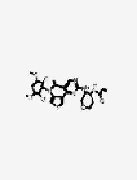 C=CC(=O)NC1CCOCC1Nc1ncc2c(n1)-c1cscc1N(c1c(Cl)c(OC)cc(OC)c1Cl)C2C